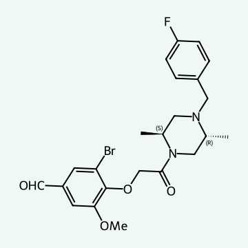 COc1cc(C=O)cc(Br)c1OCC(=O)N1C[C@@H](C)N(Cc2ccc(F)cc2)C[C@@H]1C